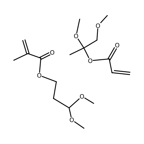 C=C(C)C(=O)OCCC(OC)OC.C=CC(=O)OC(C)(COC)OC